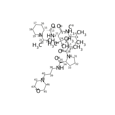 C/C(=C\C(C(C)C)N(C)C(=O)[C@@H](NC(=O)[C@H]1CCCCN1C(C)C)C(C)(C)C)C(=O)N1CCC[C@H]1C(=O)NCCCN1CCOCC1